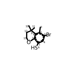 Cc1c(Br)cc(S)c2c1C(C)(C)CCO2